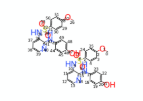 COc1ccc(S(=O)(=O)Nc2cccnc2Nc2ccc(O)cc2)cc1.COc1ccc(S(=O)(=O)Nc2cccnc2Nc2ccc(O)cc2)cc1